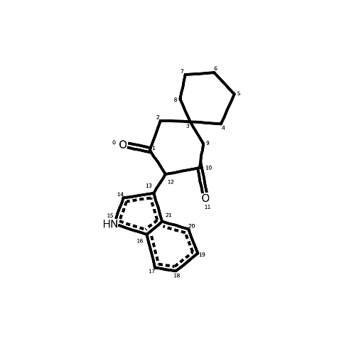 O=C1CC2(CCCCC2)CC(=O)C1c1c[nH]c2ccccc12